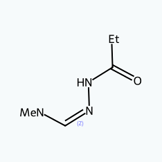 CCC(=O)N/N=C\NC